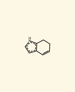 [c]1c[nH]c2c1C=CCC2